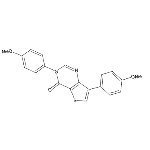 COc1ccc(-c2csc3c(=O)n(-c4ccc(OC)cc4)cnc23)cc1